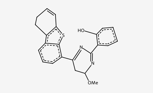 COC1CC(c2cccc3c4c(sc23)C=CCC4)=NC(c2ccccc2O)=N1